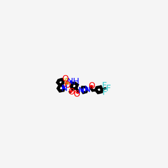 COc1cc(NS(=O)(=O)c2cccc3cccnc23)ccc1C(=O)N1CCN(C(=O)Cc2ccc(C(F)(F)F)cc2)CC1